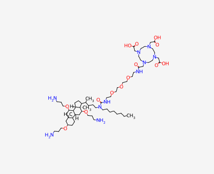 CCCCCCCCN(CCCC(C)C1CC[C@H]2C3[C@H](OCCCN)CC4CC(OCCCN)CC[C@]4(C)[C@H]3C[C@H](OCCCN)[C@]12C)C(=O)NCCOCCOCCOCCNC(=O)CN1CCN(CC(=O)O)CCN(CC(=O)O)CCN(CC(=O)O)CC1